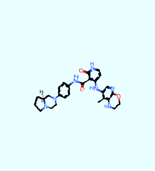 Cc1c(Nc2cc[nH]c(=O)c2C(=O)Nc2ccc(N3CCN4CCC[C@H]4C3)cc2)cnc2c1NCCO2